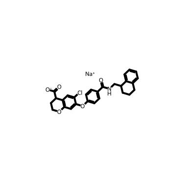 O=C(NCC1CCCc2ccccc21)c1ccc(Oc2cc3c(cc2Cl)C(C(=O)[O-])CCO3)cc1.[Na+]